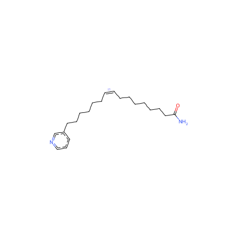 NC(=O)CCCCCCC/C=C\CCCCCCc1cccnc1